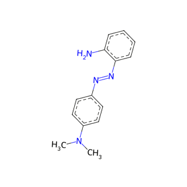 CN(C)c1ccc(N=Nc2ccccc2N)cc1